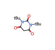 CC(C)(C)N1C(=O)CC(=O)N(C(C)(C)C)C1=O